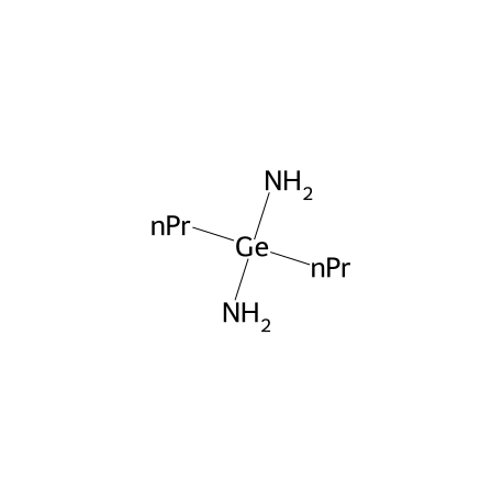 CC[CH2][Ge]([NH2])([NH2])[CH2]CC